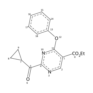 CCOC(=O)c1cnc(C(=O)C2CC2)nc1Oc1ccccc1